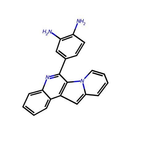 Nc1ccc(-c2nc3ccccc3c3cc4ccccn4c23)cc1N